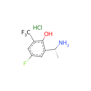 C[C@@H](N)c1cc(F)cc(C(F)(F)F)c1O.Cl